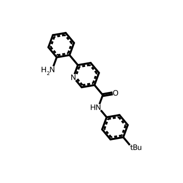 CC(C)(C)c1ccc(NC(=O)c2ccc(-c3ccccc3N)nc2)cc1